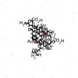 C=C(O)[C@H](NC(=O)[C@H](CC(=O)O)NC(=O)[C@H](CO)NC(=O)[C@H](CCCNC(=N)N)N(C)C(=O)[C@@H](NC(C)=O)C(C)(C)S)C(=O)NCC(=O)N(CC(C)C)[C@H](C(=O)N[C@@H](Cc1ccc(C(C)(C)C)cc1)C(=O)N[C@@H](CCC(=O)O)CC(N)=O)C(C)(C)S